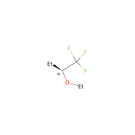 CCO[C@@H](CC)C(F)(F)F